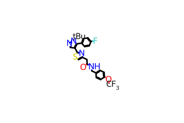 CC(C)(C)n1ncc(-c2nc(CC(=O)NCc3ccc(OC(F)(F)F)cc3)cs2)c1-c1ccc(F)cc1